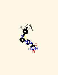 CC(C)(C)c1ccc(-c2nc3cccc(N4CCN(Cc5c[nH]c(=O)[nH]c5=O)CC4)c3s2)cc1